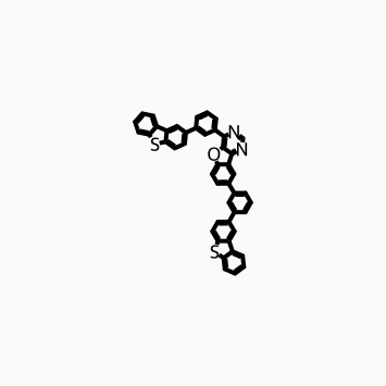 c1cc(-c2ccc3sc4ccccc4c3c2)cc(-c2ccc3oc4c(-c5cccc(-c6ccc7sc8ccccc8c7c6)c5)ncnc4c3c2)c1